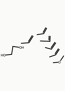 C=CC.C=CC.C=CC.C=CC.C=CC.COC.OCCO